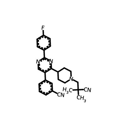 CC(C)(C#N)CN1CCC(c2nc(-c3ccc(F)cc3)ncc2-c2cccc(C#N)c2)CC1